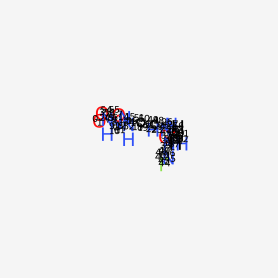 COC(=O)N[C@H](C(=O)N1CCC[C@H]1c1ncc(-c2ccc(-c3ccc(-c4cnc([C@@H]5[C@H]6CC[C@H](C6)[C@H]5C(=O)NCc5ccc(F)nc5)[nH]4)cc3)cc2)[nH]1)C(C)C